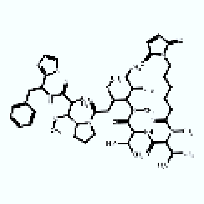 CCC(C)C(C(CC(=O)N1CCC[C@H]1C(OC)C(C)C(=S)NC(Cc1ccccc1)c1nccs1)OC)N(C)C(=O)C(NC(=O)C(C(C)C)N(C)C(=O)CCCCCN1C(=O)C=CC1=O)C(C)C